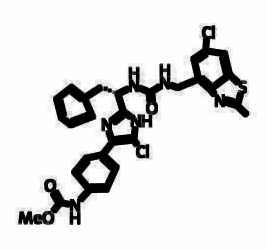 COC(=O)Nc1ccc(-c2nc([C@H](Cc3ccccc3)NC(=O)NCc3cc(Cl)cc4sc(C)nc34)[nH]c2Cl)cc1